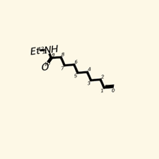 C=CCCCCCCCC(=O)NCC